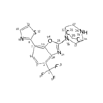 FC(F)(F)c1ccc(-c2nccs2)c2oc(N3CC4CCCC3CN4)nc12